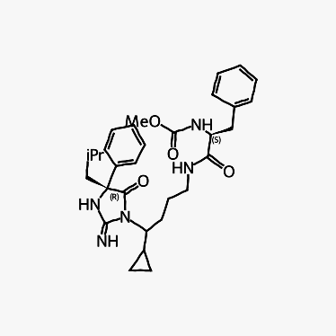 COC(=O)N[C@@H](Cc1ccccc1)C(=O)NCCCC(C1CC1)N1C(=N)N[C@](CC(C)C)(c2ccccc2)C1=O